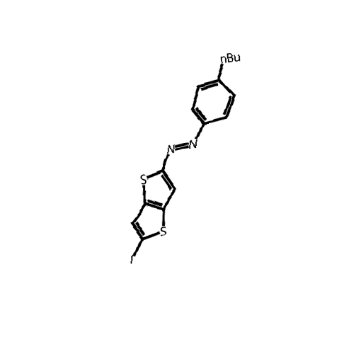 CCCCc1ccc(N=Nc2cc3sc(I)cc3s2)cc1